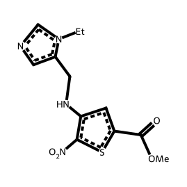 CCn1cncc1CNc1cc(C(=O)OC)sc1[N+](=O)[O-]